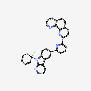 FC1(n2c3ccc(-c4cccc(-c5ccc6ccc7cccnc7c6n5)n4)cc3c3cccnc32)C=CC=CC1